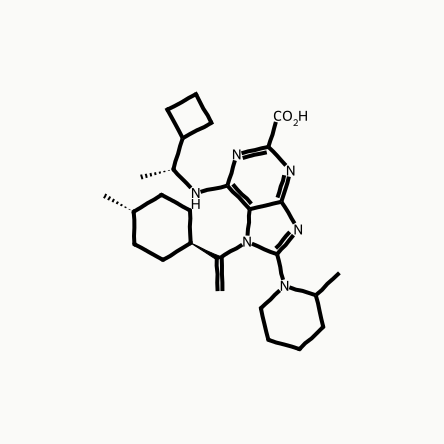 C=C([C@H]1CC[C@H](C)CC1)n1c(N2CCCCC2C)nc2nc(C(=O)O)nc(N[C@H](C)C3CCC3)c21